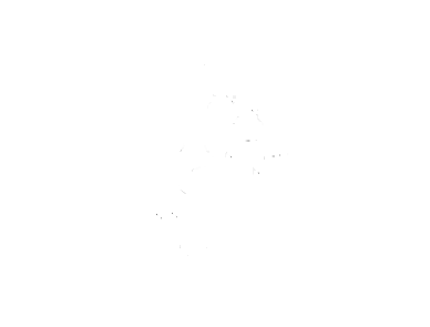 COc1c(/C=C/N(N)[C@@H]2CCC[C@]23CCCO3)cccc1Nc1cc(NC(=O)C2CC2)ncc1C(N)=O